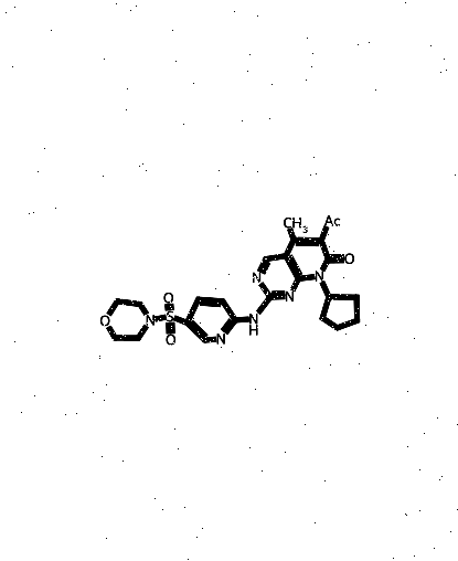 CC(=O)c1c(C)c2cnc(Nc3ccc(S(=O)(=O)N4CCOCC4)cn3)nc2n(C2CCCC2)c1=O